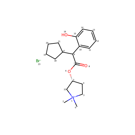 C[N+]1(C)CC[C@@H](OC(=O)C(c2ccccc2O)C2CCCC2)C1.[Br-]